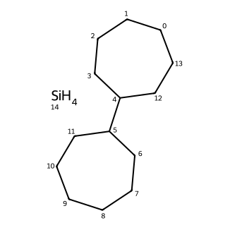 C1CCCC(C2CCCCCC2)CC1.[SiH4]